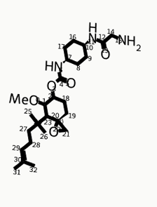 COC1C(OC(=O)N[C@H]2CC[C@H](NC(=O)CN)CC2)CC[C@]2(CO2)C1C(C)(C)CCC=C(C)C